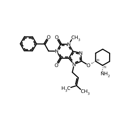 CC(C)=CCn1c(O[C@@H]2CCCC[C@@H]2N)nc2c1c(=O)n(CC(=O)c1ccccc1)c(=O)n2C